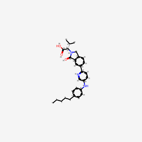 CCCCCc1ccc(Nc2ccc(-c3ccc4c(c3)C(=O)N([C@H](C(=O)O)C(C)C)C4)nc2)cc1